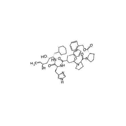 C=C[C@@H](C[C@H](O)[C@H](CC1CCCCC1)NC(=O)[C@H](Cc1c[nH]cn1)NC(=O)C(CC(=O)N1CCC[C@@H]1C(=O)N1CCC[C@H]1C(=O)OCc1ccccc1)Cc1ccccc1)C(C)C